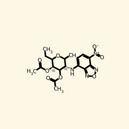 CCC1OC(C)[C@H](Nc2ccc([N+](=O)[O-])c3nonc23)C(OC(C)=O)[C@H]1OC(C)=O